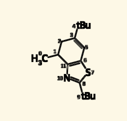 CC1CC(C(C)(C)C)=Cc2sc(C(C)(C)C)nc21